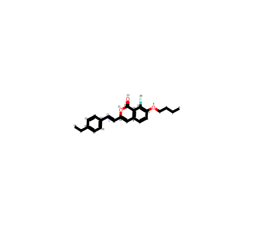 CCCCOc1ccc2cc(/C=C/c3ccc(CC)cc3)oc(=O)c2c1F